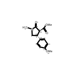 COC(=O)[C@@H]1C(=O)N(C)C[C@H]1c1ccc(OC)cc1